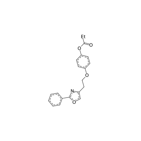 CCC(=O)Oc1ccc(OCCc2coc(-c3ccccc3)n2)cc1